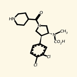 CN(C(=O)O)[C@H]1CN(C(=O)C2CCNCC2)C[C@@H]1c1ccc(Cl)c(Cl)c1